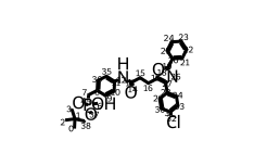 CC1(C)CO[P](O)(Cc2ccc(NC(=O)CCc3oc(-c4ccccc4)nc3-c3ccc(Cl)cc3)cc2)OC1